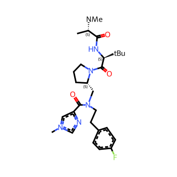 CN[C@@H](C)C(=O)N[C@H](C(=O)N1CCC[C@H]1CN(CCc1ccc(F)cc1)C(=O)c1cn(C)cn1)C(C)(C)C